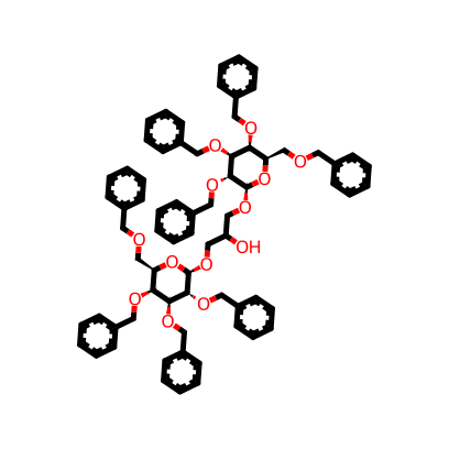 OC(CO[C@@H]1O[C@H](COCc2ccccc2)[C@H](OCc2ccccc2)[C@H](OCc2ccccc2)[C@H]1OCc1ccccc1)CO[C@@H]1O[C@H](COCc2ccccc2)[C@H](OCc2ccccc2)[C@H](OCc2ccccc2)[C@H]1OCc1ccccc1